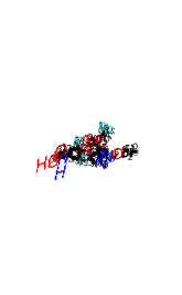 C[Si](C)(C)CCOCn1cc(C2(OCC(F)(F)F)COC2)c2c(Oc3c(F)cc(NC(=O)O)cc3F)ccnc21